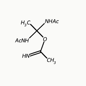 CC(=N)OC(C)(NC(C)=O)NC(C)=O